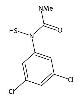 CNC(=O)N(S)c1cc(Cl)cc(Cl)c1